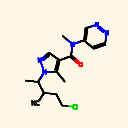 Cc1c(C(=O)N(C)c2ccnnc2)cnn1C(C)C(C#N)CCCl